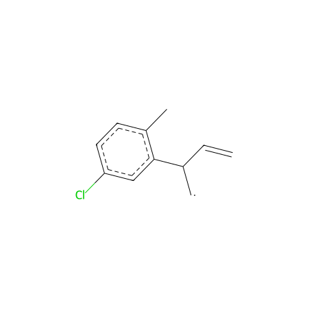 [CH2]C(C=C)c1cc(Cl)ccc1C